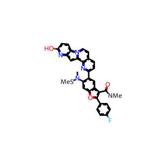 CNC(=O)c1c(-c2ccc(F)cc2)oc2cc(N(C)SC)c(-c3ccc4ccn5c6ccc(O)nc6cc5c4n3)cc12